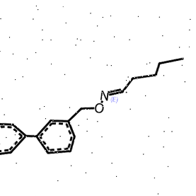 CCCC/[C]=N/OCc1cccc(-c2ccccc2)c1